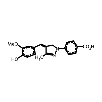 COc1cc(C=C2CN(c3ccc(C(=O)O)cc3)N=C2C)ccc1O